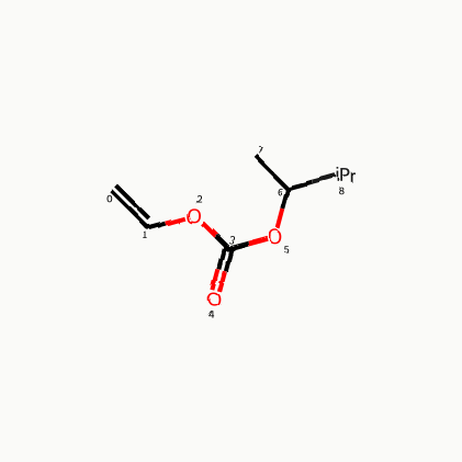 C=COC(=O)OC(C)C(C)C